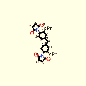 CCCc1cc(Cc2ccc(N3C(=O)C=CC3=O)c(CCC)c2)ccc1N1C(=O)C=CC1=O